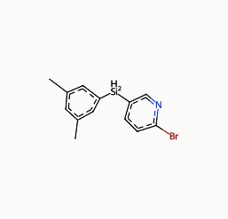 Cc1cc(C)cc([SiH2]c2ccc(Br)nc2)c1